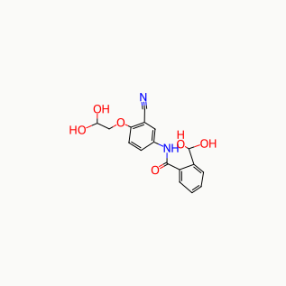 N#Cc1cc(NC(=O)c2ccccc2C(O)O)ccc1OCC(O)O